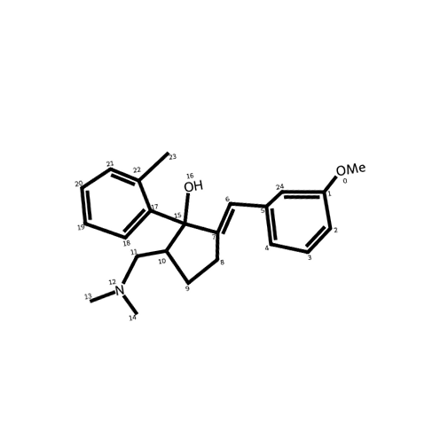 COc1cccc(/C=C2\CCC(CN(C)C)C2(O)c2ccccc2C)c1